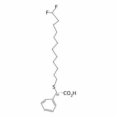 O=C(O)[C@@H](SCCCCCCCCCCCC(F)F)c1ccccc1